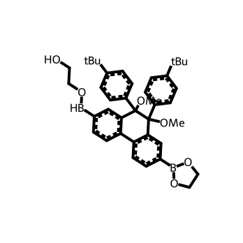 COC1(c2ccc(C(C)(C)C)cc2)c2cc(BOCCO)ccc2-c2ccc(B3OCCO3)cc2C1(OC)c1ccc(C(C)(C)C)cc1